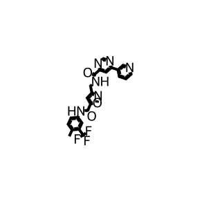 Cc1ccc(NC(=O)c2cc(CNC(=O)c3cc(-c4cccnc4)ncn3)no2)cc1C(F)(F)F